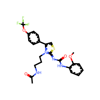 COc1ccccc1NC(=O)/N=c1\scc(-c2ccc(OC(F)(F)F)cc2)n1CCCNC(C)=O